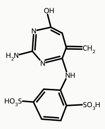 C=C1C=C(O)N=C(N)N=C1Nc1cc(S(=O)(=O)O)ccc1S(=O)(=O)O